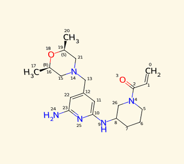 C=CC(=O)N1CCCC(Nc2cc(CN3C[C@@H](C)O[C@@H](C)C3)cc(N)n2)C1